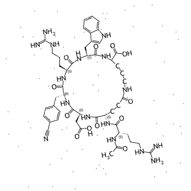 CC(=O)N[C@@H](CCCNC(=N)N)C(=O)N[C@H]1CCC(=O)NCCCC(C(=O)O)NC(=O)[C@H](Cc2c[nH]c3ccccc23)NC(=O)[C@H](CCCNC(=N)N)NC(=O)[C@@H](Cc2ccc(C#N)cc2)NC(=O)[C@H](CC(=O)O)NC1=O